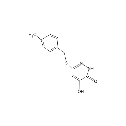 Cc1ccc(CSc2cc(O)c(=O)[nH]n2)cc1